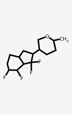 CC1CCC(C2CC3CCC(F)C(F)C3C2(F)F)CO1